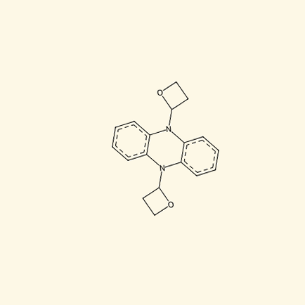 c1ccc2c(c1)N(C1CCO1)c1ccccc1N2C1CCO1